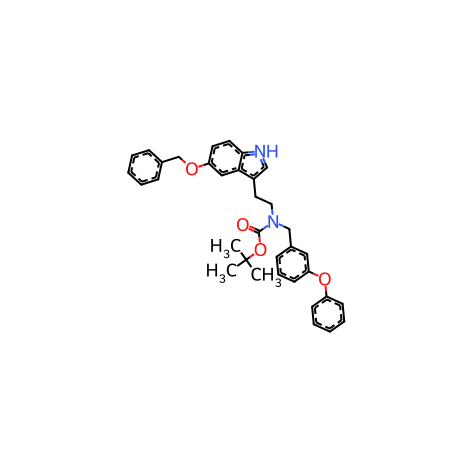 CC(C)(C)OC(=O)N(CCc1c[nH]c2ccc(OCc3ccccc3)cc12)Cc1cccc(Oc2ccccc2)c1